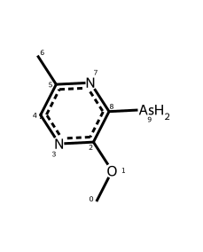 COc1n[c]c(C)nc1[AsH2]